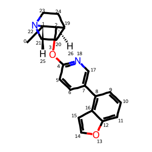 C[C@H]1[C@H](Oc2ccc(-c3cccc4occc34)cn2)C2CCN1CC2